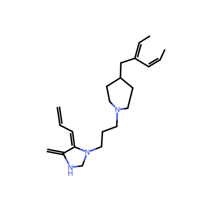 C=C/C=C1\C(=C)NCN1CCCN1CCC(CC(/C=C\C)=C/C)CC1